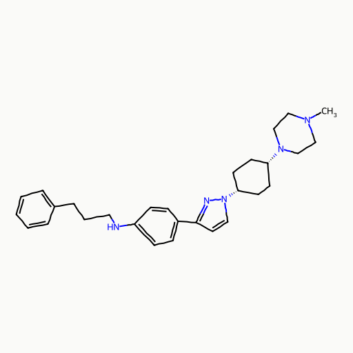 CN1CCN([C@H]2CC[C@@H](n3ccc(-c4ccc(NCCCc5ccccc5)cc4)n3)CC2)CC1